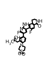 CN(C)Cc1cc(-c2cc(-c3cc4c(cc3F)C(=O)NCC4)c(N)nc2F)ccc1N1CCS(=O)(=O)CC1